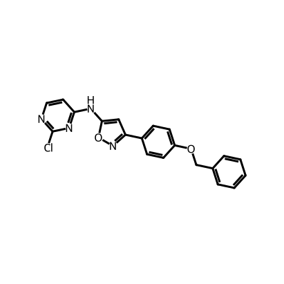 Clc1nccc(Nc2cc(-c3ccc(OCc4ccccc4)cc3)no2)n1